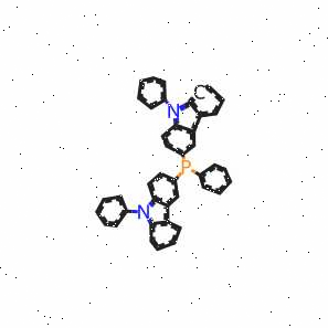 c1ccc(-n2c3ccccc3c3cc(P(c4ccccc4)c4ccc5c(c4)c4ccccc4n5-c4ccccc4)ccc32)cc1